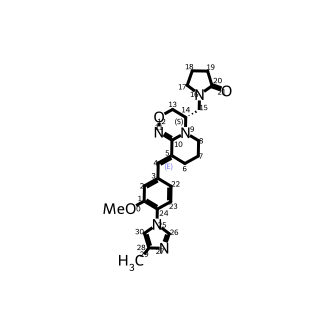 COc1cc(/C=C2\CCCN3C2=NOC[C@@H]3CN2CCCC2=O)ccc1-n1cnc(C)c1